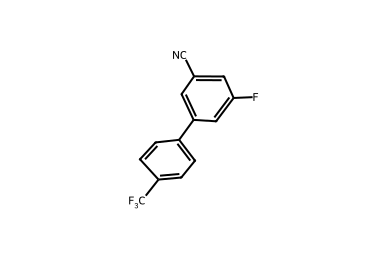 N#Cc1cc(F)cc(-c2ccc(C(F)(F)F)cc2)c1